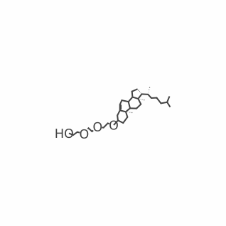 CC(C)CCC[C@@H](C)[C@H]1CCC2C3CC=C4CC(OCCOCCOCCO)CC[C@]4(C)C3CC[C@@]21C